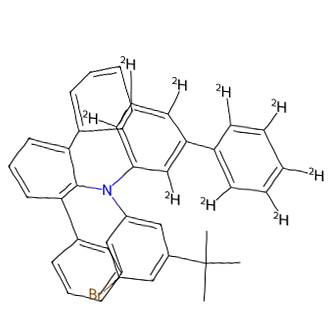 [2H]c1c([2H])c([2H])c(-c2c([2H])c([2H])c([2H])c(N(c3cc(Br)cc(C(C)(C)C)c3)c3c(-c4ccccc4)cccc3-c3ccccc3)c2[2H])c([2H])c1[2H]